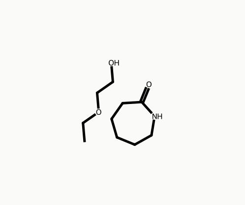 CCOCCO.O=C1CCCCCN1